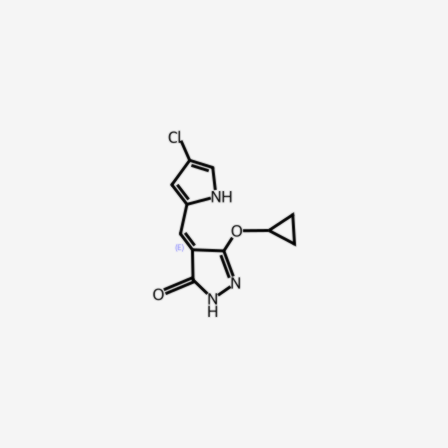 O=C1NN=C(OC2CC2)/C1=C\c1cc(Cl)c[nH]1